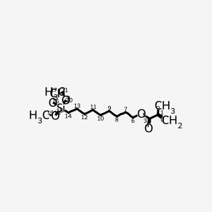 C=C(C)C(=O)OCCCCCCCCC[Si](OC)(OC)OC